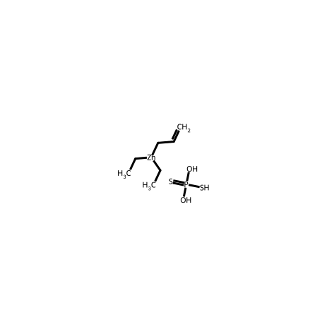 C=C[CH2][Zn]([CH2]C)[CH2]C.OP(O)(=S)S